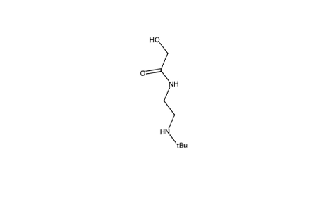 CC(C)(C)NCCNC(=O)CO